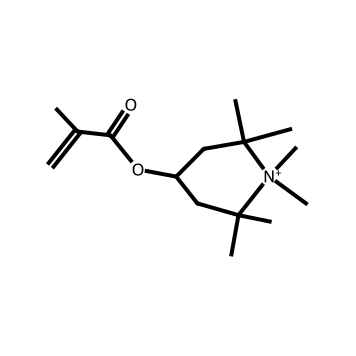 C=C(C)C(=O)OC1CC(C)(C)[N+](C)(C)C(C)(C)C1